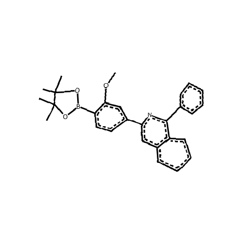 COc1cc(-c2cc3ccccc3c(-c3ccccc3)n2)ccc1B1OC(C)(C)C(C)(C)O1